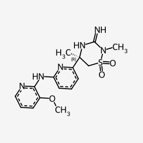 COc1cccnc1Nc1cccc([C@]2(C)CS(=O)(=O)N(C)C(=N)N2)n1